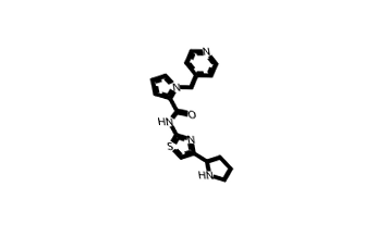 O=C(Nc1nc(C2CCCN2)cs1)c1cccn1Cc1ccncc1